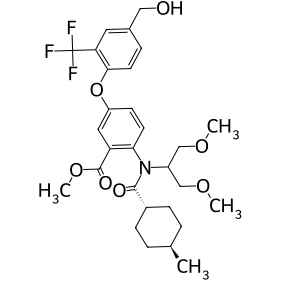 COCC(COC)N(c1ccc(Oc2ccc(CO)cc2C(F)(F)F)cc1C(=O)OC)C(=O)[C@H]1CC[C@H](C)CC1